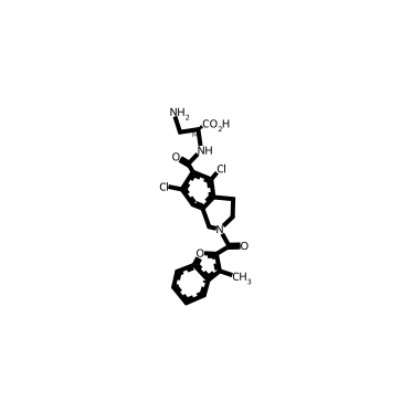 Cc1c(C(=O)N2CCc3c(cc(Cl)c(C(=O)N[C@@H](CN)C(=O)O)c3Cl)C2)oc2ccccc12